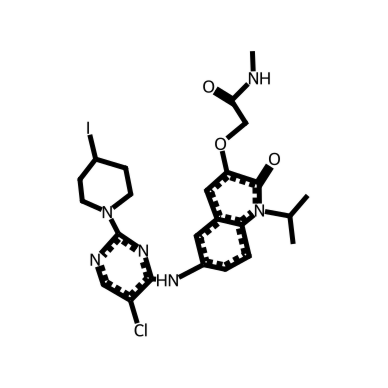 CNC(=O)COc1cc2cc(Nc3nc(N4CCC(I)CC4)ncc3Cl)ccc2n(C(C)C)c1=O